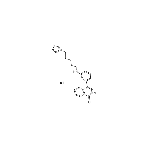 Cl.O=c1[nH]nc(-c2cccc(NCCCCCn3ccnc3)c2)c2ccccc12